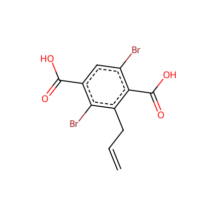 C=CCc1c(Br)c(C(=O)O)cc(Br)c1C(=O)O